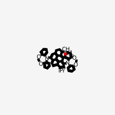 CC(C)c1cc(N2c3ccccc3OCOc3ccccc32)c2cc3c4c(cc(N5c6ccccc6OCOc6ccccc65)c5ccc1c2c54)CCC3(C)C